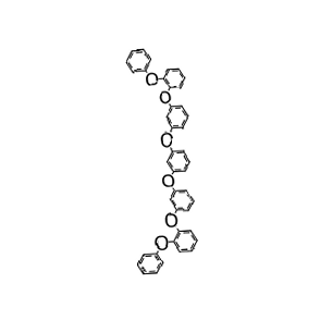 c1ccc(Oc2ccccc2Oc2cccc(Oc3cccc(Oc4cccc(Oc5ccccc5Oc5ccccc5)c4)c3)c2)cc1